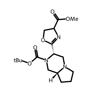 COC(=O)C1COC([C@@H]2CN3CCC[C@@H]3CN2C(=O)OC(C)(C)C)=N1